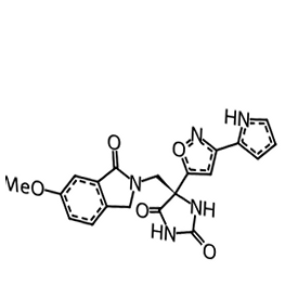 COc1ccc2c(c1)C(=O)N(C[C@@]1(c3cc(-c4ccc[nH]4)no3)NC(=O)NC1=O)C2